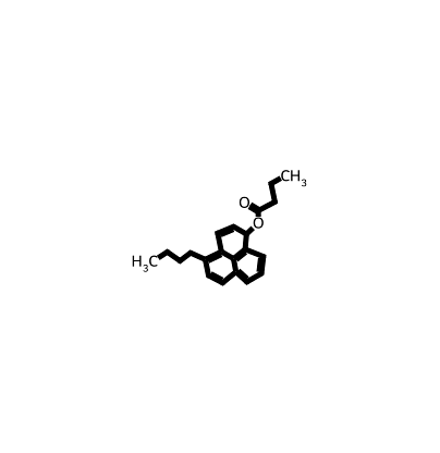 CCCCc1ccc2cccc3c2c1C=CC3OC(=O)CCC